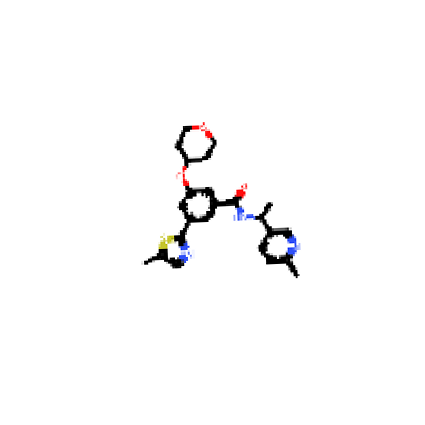 Cc1ccc(C(C)NC(=O)c2cc(OC3CCOCC3)cc(-c3ncc(C)s3)c2)cn1